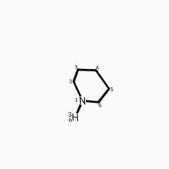 [3H]N1CCCCC1